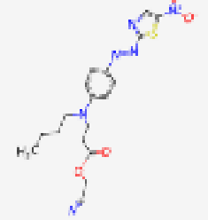 CCCCN(CCC(=O)OCC#N)c1ccc(N=Nc2ncc([N+](=O)[O-])s2)cc1